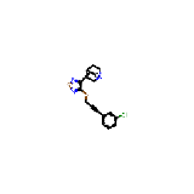 Clc1cccc(C#CCSc2nsnc2C2CN3CCC2CC3)c1